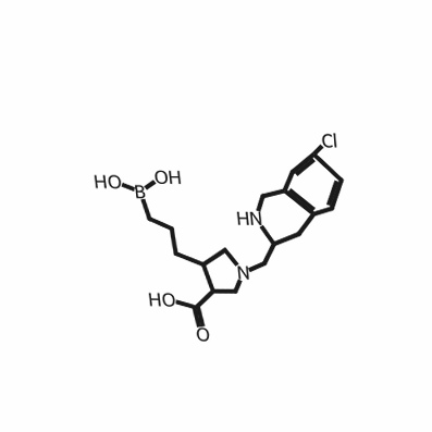 O=C(O)C1CN(CC2Cc3ccc(Cl)cc3CN2)CC1CCCB(O)O